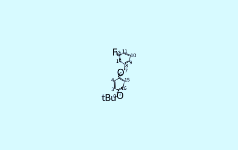 CC(C)(C)Oc1ccc(OCc2cccc(F)c2)cc1